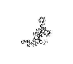 CC(C)(C)OC(=O)N1CCC(C(=O)O)(c2ccc3[nH]c([C@@H](NC(=O)OCc4ccccc4)C4CCC(F)(F)CC4)nc3c2F)C1